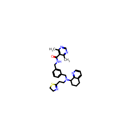 Cc1ncnc(C)c1C(=O)NCc1cccc(CN(CCC2=NCCS2)C2CCCc3cccnc32)c1